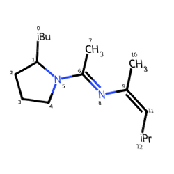 CCC(C)C1CCCN1/C(C)=N/C(C)=C\C(C)C